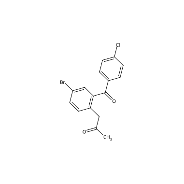 CC(=O)Cc1ccc(Br)cc1C(=O)c1ccc(Cl)cc1